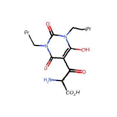 CC(C)Cn1c(O)c(C(=O)C(N)C(=O)O)c(=O)n(CC(C)C)c1=O